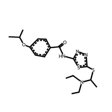 CCN(CC)C(C)Sc1nnc(NC(=O)c2ccc(OC(C)C)cc2)s1